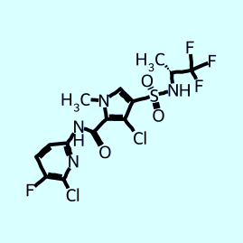 C[C@@H](NS(=O)(=O)c1cn(C)c(C(=O)Nc2ccc(F)c(Cl)n2)c1Cl)C(F)(F)F